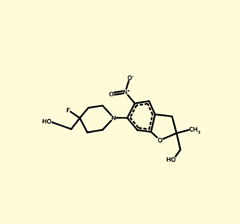 CC1(CO)Cc2cc([N+](=O)[O-])c(N3CCC(F)(CO)CC3)cc2O1